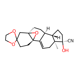 C[C@]12CC=C3[C@@H](CC[C@@]45CC6(CC[C@@]34O5)OCCO6)[C@@H]1CC[C@]2(O)C#N